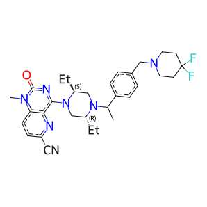 CC[C@H]1CN(C(C)c2ccc(CN3CCC(F)(F)CC3)cc2)[C@H](CC)CN1c1nc(=O)n(C)c2ccc(C#N)nc12